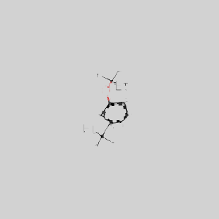 CCC(C)(CC)Oc1cccc(C(C)(C)CC)c1